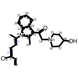 C=C/C(Cl)=C\C=C(/C)n1c(C)c(C(=O)CN2CCC(O)CC2)c2ccccc21